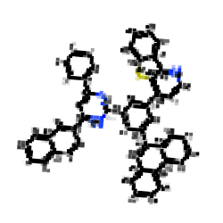 c1ccc(-c2cc(-c3ccc4ccccc4c3)nc(-c3cc(-c4cc5ccccc5c5ccccc45)cc(-c4ccnc5c4sc4ccccc45)c3)n2)cc1